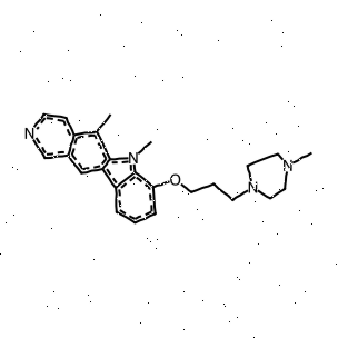 Cc1c2ccncc2cc2c3cccc(OCCCN4CCN(C)CC4)c3n(C)c12